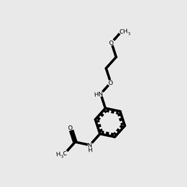 COCCONc1cccc(NC(C)=O)c1